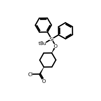 CC(C)(C)[Si](O[C@H]1CC[C@@H](C(=O)Cl)CC1)(c1ccccc1)c1ccccc1